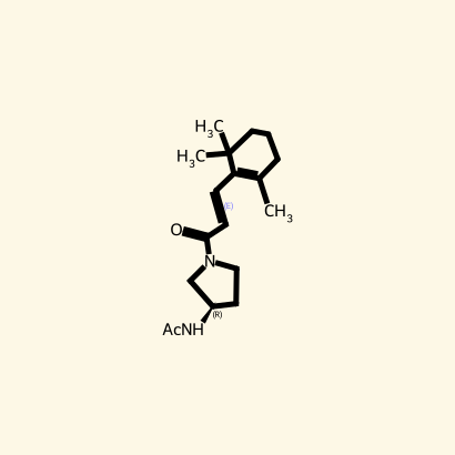 CC(=O)N[C@@H]1CCN(C(=O)/C=C/C2=C(C)CCCC2(C)C)C1